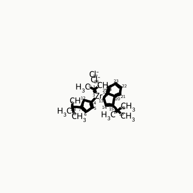 C[C](C)=[Zr+2]([C]1=CC=C(C(C)(C)C)C1)[CH]1C=C(C(C)(C)C)c2ccccc21.[Cl-].[Cl-]